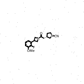 COc1cccc(C2CN(C(=O)C[C@@H]3CCN(C#N)C3)C2)c1F